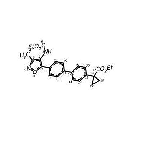 CCOC(=O)Nc1c(C)noc1-c1ccc(-c2ccc(C3(C(=O)OCC)CC3)cc2)cc1